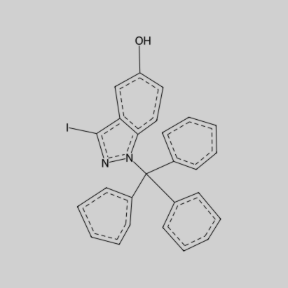 Oc1ccc2c(c1)c(I)nn2C(c1ccccc1)(c1ccccc1)c1ccccc1